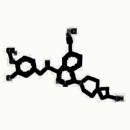 COc1ccc(CNc2nnc(N3CCC4(CC3)CC(O)C4)c3ccc(C#N)cc23)cc1Cl.Cl